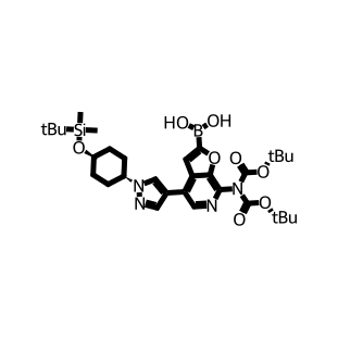 CC(C)(C)OC(=O)N(C(=O)OC(C)(C)C)c1ncc(-c2cnn([C@H]3CC[C@H](O[Si](C)(C)C(C)(C)C)CC3)c2)c2cc(B(O)O)oc12